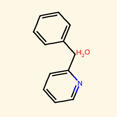 O.c1ccc(Cc2ccccn2)cc1